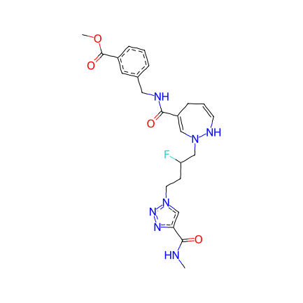 CNC(=O)c1cn(CCC(F)CN2C=C(C(=O)NCc3cccc(C(=O)OC)c3)CC=CN2)nn1